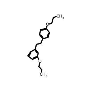 CCCOc1ccc(CCc2cccc(OCCC)c2)cc1